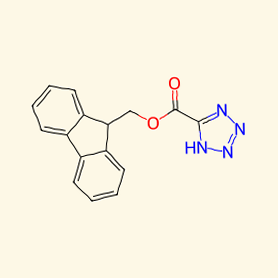 O=C(OCC1c2ccccc2-c2ccccc21)c1nnn[nH]1